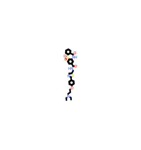 CCN(CC)CCCOc1ccc(-c2ncc(CNC(=O)c3ccc4c(c3)NC(=O)c3ccccc3S4(=O)=O)s2)cc1